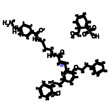 NNc1ccc(C(=O)NCCCNC(=O)/C=C/c2nc(CSc3ccccc3Cl)ccc2OCCc2ccccc2)cn1.O=Cc1ccccc1S(=O)(=O)O